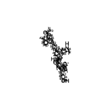 COc1nc2[nH]cc(F)c2cc1Oc1cc(N2CCC3(CC2)CC(N2CCN(C(=O)C4CC4)C[C@H]2c2ccccc2C(C)C)C3)ccc1C(=O)NS(=O)(=O)c1cnc(NCC2CCC(C)(O)CC2)c([N+](=O)[O-])c1